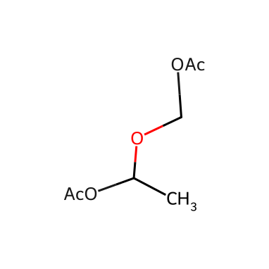 CC(=O)OCOC(C)OC(C)=O